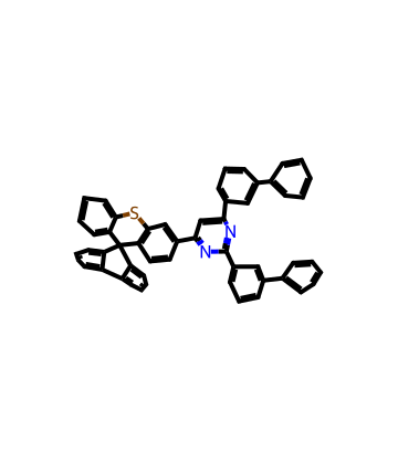 c1ccc(-c2cccc(-c3cc(-c4ccc5c(c4)Sc4ccccc4C54c5ccccc5-c5ccccc54)nc(-c4cccc(-c5ccccc5)c4)n3)c2)cc1